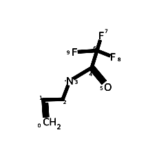 C=CC[N]C(=O)C(F)(F)F